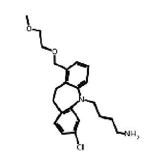 COCCOCc1cccc2c1CCc1ccc(Cl)cc1N2CCCCN